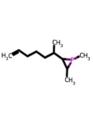 C=CCCCC(C)C1C(C)P1C